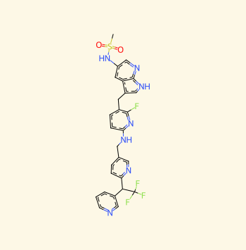 CS(=O)(=O)Nc1cnc2[nH]cc(Cc3ccc(NCc4ccc(C(c5cccnc5)C(F)(F)F)nc4)nc3F)c2c1